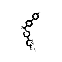 Nc1ccc(C2CCN(C(=O)c3ccc(-c4ccc(Cl)cc4)cc3)CC2)nn1